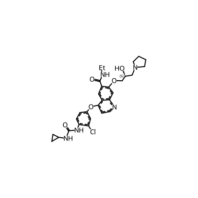 CCNC(=O)c1cc2c(Oc3ccc(NC(=O)NC4CC4)c(Cl)c3)ccnc2cc1OC[C@@H](O)CN1CCCC1